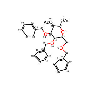 CC(=O)OC1OC(COCc2ccccc2)C(OCc2ccccc2)C(OCc2ccccc2)C1OC(C)=O